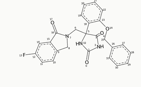 O=C1NC(=O)C(CN2Cc3ccc(F)cc3C2=O)(c2ccccc2OCc2ccccc2)N1